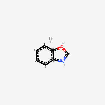 [Li].c1ccc2ocnc2c1